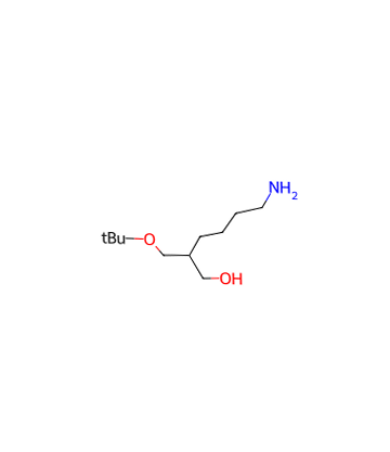 CC(C)(C)OCC(CO)CCCCN